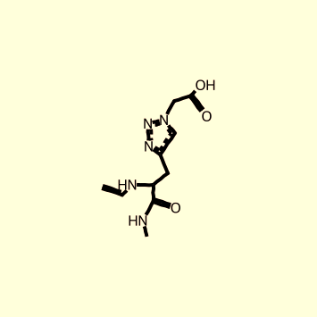 C=CNC(Cc1cn(CC(=O)O)nn1)C(=O)NC